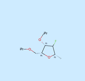 CC(C)OC[C@H]1O[C@@H](C)C(F)[C@H]1OC(C)C